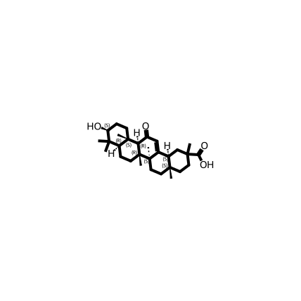 CC1(C(=O)O)CC[C@]2(C)CC[C@]3(C)C(=CC(=O)[C@@H]4[C@@]5(C)CC[C@H](O)C(C)(C)[C@@H]5CC[C@]43C)[C@H]2C1